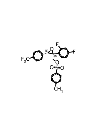 Cc1ccc(S(=O)(=O)OC[C@@]2(c3ccc(F)cc3F)O[C@H]2c2ccc(C(F)(F)F)cc2)cc1